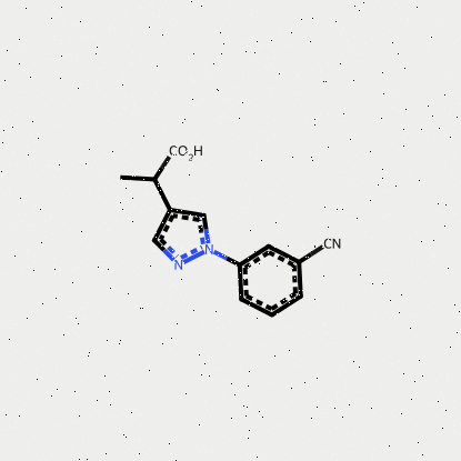 CC(C(=O)O)c1cnn(-c2cccc(C#N)c2)c1